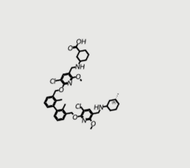 COc1nc(OCc2cccc(-c3cccc(COc4nc(OC)c(CNC5CCC[C@@H](C)C5)cc4Cl)c3C)c2C)c(Cl)cc1CNC1CCCC(C(=O)O)C1